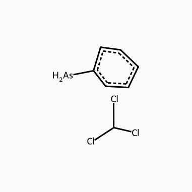 ClC(Cl)Cl.[AsH2]c1ccccc1